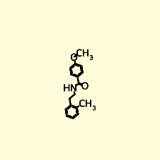 COc1ccc(C(=O)NCCc2ccccc2C)cc1